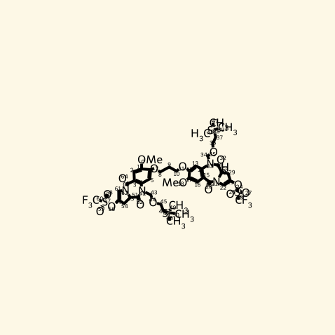 COc1cc2c(cc1OCCCOc1cc3c(cc1OC)C(=O)N1C=C(OS(=O)(=O)C(F)(F)F)C[C@H]1C(=O)N3COCC[Si](C)(C)C)N(COCC[Si](C)(C)C)C(=O)C1CC(OS(=O)(=O)C(F)(F)F)=CN1C2=O